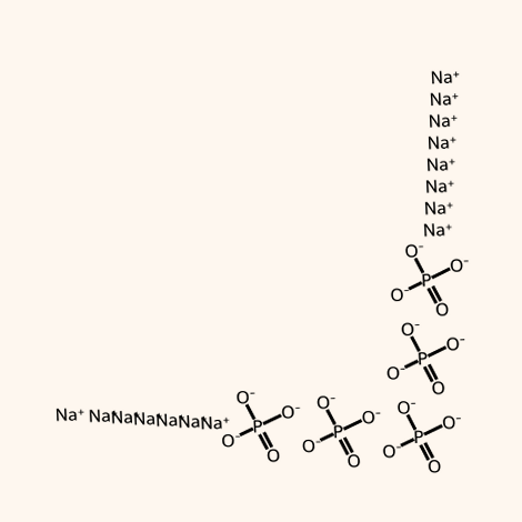 O=P([O-])([O-])[O-].O=P([O-])([O-])[O-].O=P([O-])([O-])[O-].O=P([O-])([O-])[O-].O=P([O-])([O-])[O-].[Na+].[Na+].[Na+].[Na+].[Na+].[Na+].[Na+].[Na+].[Na+].[Na+].[Na+].[Na+].[Na+].[Na+].[Na+]